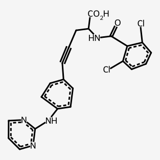 O=C(NC(CC#Cc1ccc(Nc2ncccn2)cc1)C(=O)O)c1c(Cl)cccc1Cl